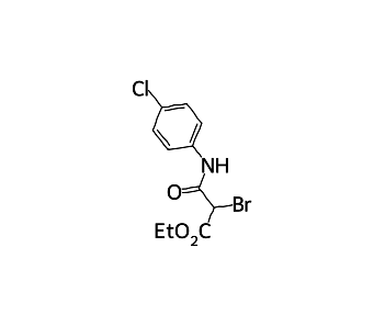 CCOC(=O)C(Br)C(=O)Nc1ccc(Cl)cc1